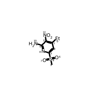 CCc1cc(S(C)(=O)=O)nc(N)c1[N+](=O)[O-]